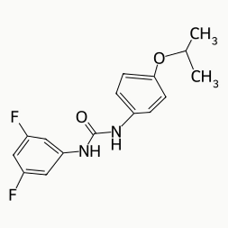 CC(C)Oc1ccc(NC(=O)Nc2cc(F)cc(F)c2)cc1